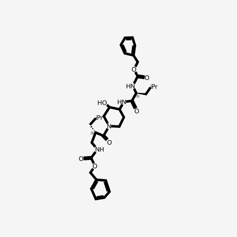 CC(C)C[C@@H](CNC(=O)OCc1ccccc1)C(=O)N1CCC(NC(=O)[C@H](CC(C)C)NC(=O)OCc2ccccc2)C(O)C1